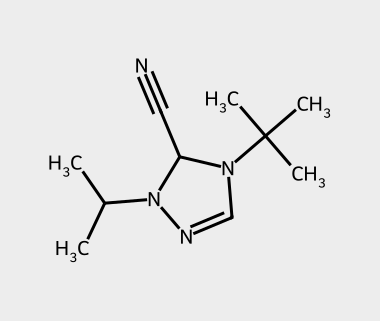 CC(C)N1N=CN(C(C)(C)C)C1C#N